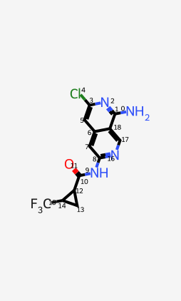 Nc1nc(Cl)cc2cc(NC(=O)C3CC3C(F)(F)F)ncc12